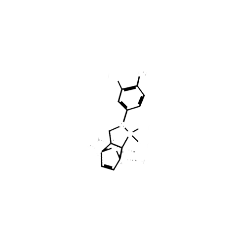 C[C@]12C=C[C@](C)(O1)[C@H]1CN(c3ccc(C#N)c(C(F)(F)F)c3)S(O)(O)[C@H]12